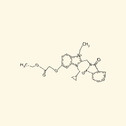 CCOC(=O)COc1ccc2c(c1)n(CC1CC1)c(CN1C(=O)c3ccccc3C1=O)[n+]2CC